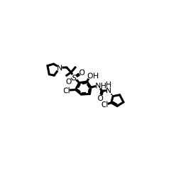 CC(C)(CN1CCCC1)S(=O)(=O)c1c(Cl)ccc(NC(=O)N[C@@H]2CCC=C2Cl)c1O